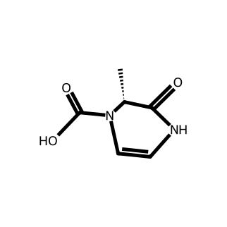 C[C@@H]1C(=O)NC=CN1C(=O)O